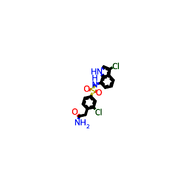 NC(=O)Cc1ccc(S(=O)(=O)Nc2cccc3c(Cl)c[nH]c23)cc1Cl